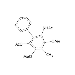 COc1c(C)c(OC)c(OC(C)=O)c(-c2ccccc2)c1NC(C)=O